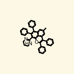 Cc1cc2c3c(c(C4=NCCCN4)c(-c4ccccc4)c(-c4ccccc4)c3c1)OC(c1ccccc1)=C2c1ccccc1